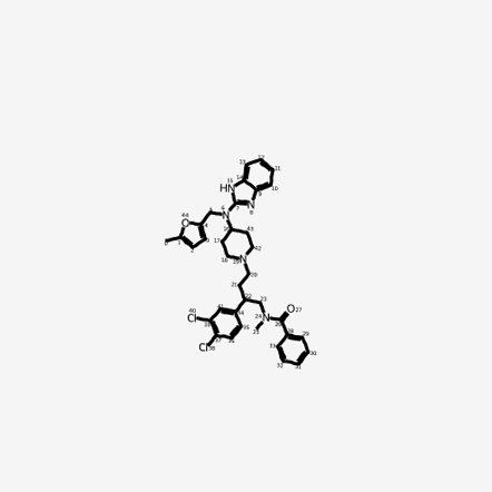 Cc1ccc(CN(c2nc3ccccc3[nH]2)C2CCN(CCC(CN(C)C(=O)c3ccccc3)c3ccc(Cl)c(Cl)c3)CC2)o1